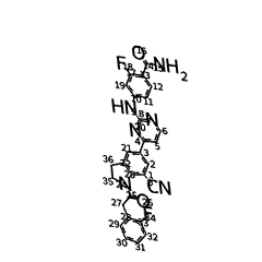 N#Cc1cc(-c2ccnc(Nc3ccc(C(N)=O)c(F)c3)n2)cc2c1N(C(=O)Cc1ccccc1F)CC2